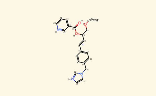 CCCCCOCC(/C=C/c1ccc(Cn2ccnc2)cc1)OC(=O)c1cccnc1